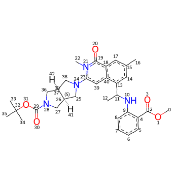 COC(=O)c1ccccc1NC(C)c1cc(C)cc2c(=O)n(C)c(N3C[C@H]4CN(C(=O)OC(C)(C)C)C[C@H]4C3)cc12